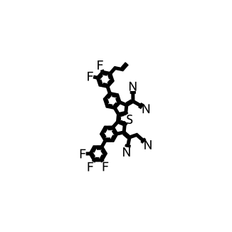 C=CCc1cc(-c2ccc3c(c2)C(=C(C#N)C#N)c2sc4c(c2-3)-c2ccc(-c3cc(F)c(F)c(F)c3)cc2/C4=C(\C#N)CC#N)cc(F)c1F